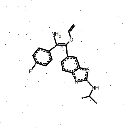 C=CO/C(=C(\N)c1ccc(F)cc1)c1ccc2nc(NC(C)C)sc2c1